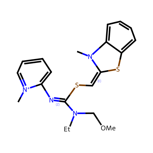 CCN(COC)/C(=N/c1cccc[n+]1C)S/C=C1/Sc2ccccc2N1C